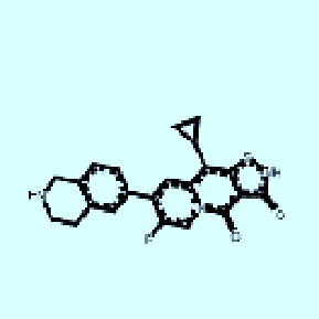 O=c1[nH]sc2c(C3CC3)c3cc(-c4ccc5c(c4)CCNC5)c(F)cn3c(=O)c12